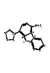 Nc1ccc(N2CCCC2)c2sc3ccccc3c12